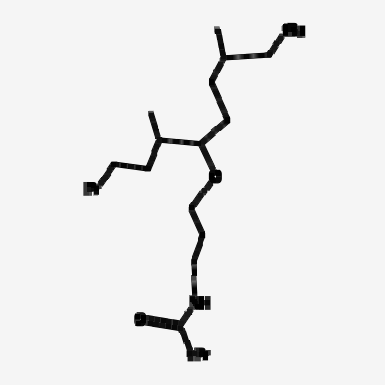 CCCC(=O)NCCCOC(CCC(C)CC(C)(C)C)C(C)CCC(C)C